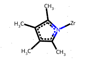 Cc1c(C)c(C)[n]([Zr])c1C